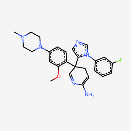 COc1cc(N2CCN(C)CC2)ccc1C1(c2cncn2-c2cccc(F)c2)C=NC(N)=CC1